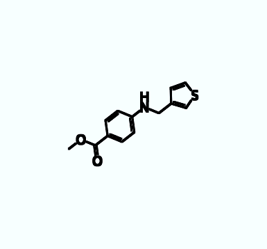 COC(=O)c1ccc(NCc2ccsc2)cc1